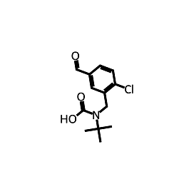 CC(C)(C)N(Cc1cc(C=O)ccc1Cl)C(=O)O